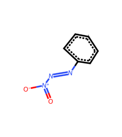 O=[N+]([O-])N=Nc1cc[c]cc1